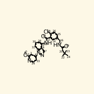 COc1cc(-n2ncc3c(NC(=O)c4cc(CNC(=O)CC(C)(C)C)ccc4Cl)cccc32)ccn1